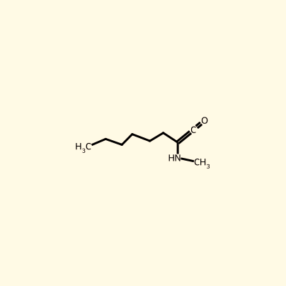 CCCCCCC(=C=O)NC